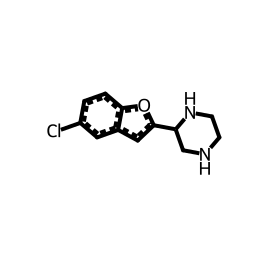 Clc1ccc2oc(C3CNCCN3)cc2c1